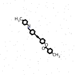 Cc1ccc(/N=C/c2ccc(C#Cc3ccc(OC(=O)c4ccc(C)cc4)cc3)cc2)cc1